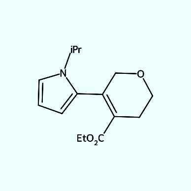 CCOC(=O)C1=C(c2cccn2C(C)C)COCC1